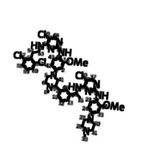 COc1cc(N2CCN(C)C(c3cccc(C(C)Nc4nc(Nc5ccc(N6CCN(C)CC6)cc5OC)ncc4Cl)c3)C2)ccc1Nc1ncc(Cl)c(NCCc2c(Cl)cccc2Cl)n1